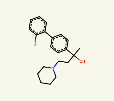 CC(O)(CCN1CCCCC1)c1ccc(-c2ccccc2Br)cc1